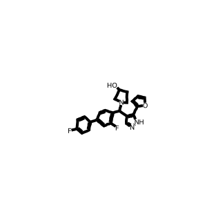 OC1CCN(C(c2ccc(-c3ccc(F)cc3)cc2F)c2cn[nH]c2-c2ccco2)C1